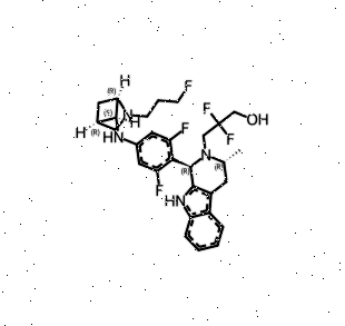 C[C@@H]1Cc2c([nH]c3ccccc23)[C@@H](c2c(F)cc(N[C@H]3[C@@H]4C[C@H]3N(CCCF)C4)cc2F)N1CC(F)(F)CO